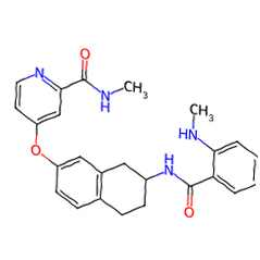 CNC(=O)c1cc(Oc2ccc3c(c2)CC(NC(=O)c2ccccc2NC)CC3)ccn1